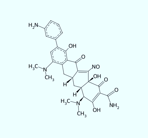 CN(C)c1cc(-c2cccc(N)c2)c(O)c2c1C[C@H]1C[C@H]3[C@H](N(C)C)C(O)=C(C(N)=O)C(=O)[C@@]3(O)C(N=O)=C1C2=O